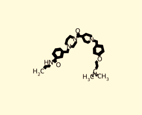 C=CCNC(=O)c1cccc(CN2CCCN(C(=O)C3CCN(Cc4ccc(OCCCN(C)C)cc4)CC3)CC2)c1